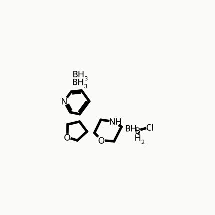 B.B.B.BCl.C1CCOC1.C1COCCN1.c1ccncc1